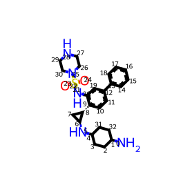 NC1CCC(N[C@H]2C[C@@H]2c2ccc(-c3ccccc3)cc2NS(=O)(=O)N2CCNCC2)CC1